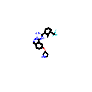 Cc1c([C@@H](N)Nc2nncc3ccc(O[C@H]4CCNC4)cc23)cccc1C(F)(F)F